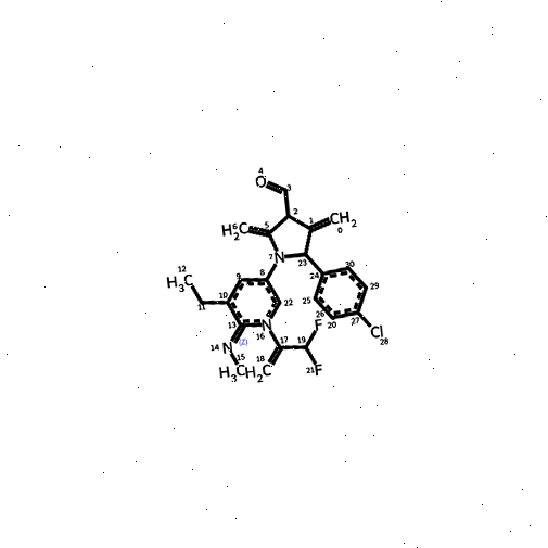 C=C1C(C=O)C(=C)N(c2cc(CC)/c(=N/C)n(C(=C)C(F)F)c2)C1c1ccc(Cl)cc1